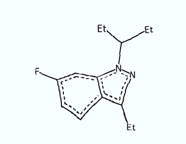 CCc1nn(C(CC)CC)c2cc(F)ccc12